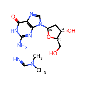 CN(C)C=N.Nc1nc2c(ncn2[C@H]2C[C@H](O)[C@@H](CO)O2)c(=O)[nH]1